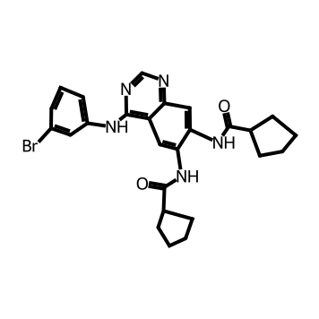 O=C(Nc1cc2ncnc(Nc3cccc(Br)c3)c2cc1NC(=O)C1CCCC1)C1CCCC1